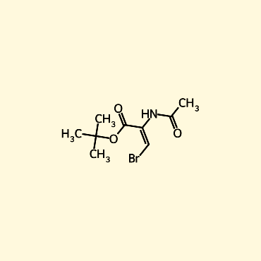 CC(=O)NC(=CBr)C(=O)OC(C)(C)C